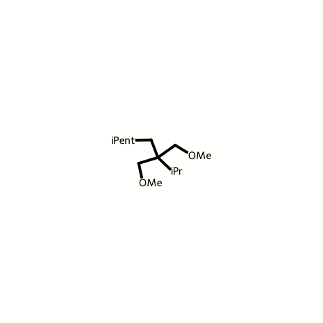 CCCC(C)CC(COC)(COC)C(C)C